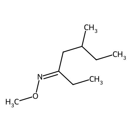 CC/C(CC(C)CC)=N\OC